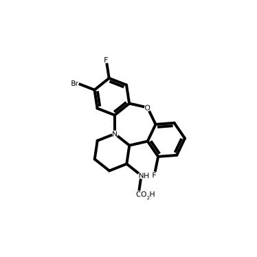 O=C(O)NC1CCCN2c3cc(Br)c(F)cc3Oc3cccc(F)c3C12